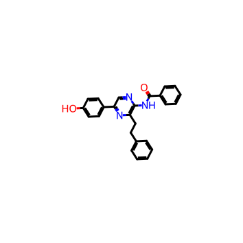 O=C(Nc1ncc(-c2ccc(O)cc2)nc1CCc1ccccc1)c1ccccc1